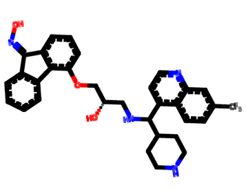 ON=C1c2ccccc2-c2c(OC[C@@H](O)CNC(c3ccnc4cc(C(F)(F)F)ccc34)C3CCNCC3)cccc21